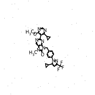 COc1ncnc(C2CC2)c1-c1ncc2c(n1)n(Cc1ccc(-n3nc(C(F)(F)F)cc3C3CC3)cc1)c(=O)n2C